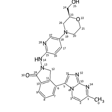 Cc1ccn2c(-c3cccc4c3CN(Nc3ccc(N5CCO[C@H](CO)C5)cn3)C4=O)cnc2n1